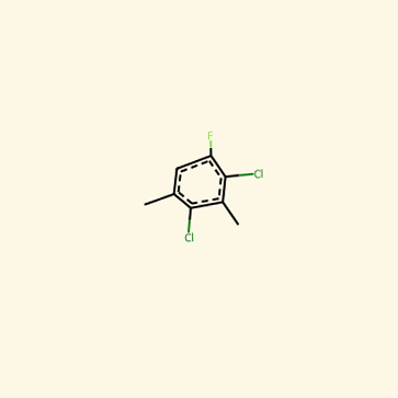 Cc1cc(F)c(Cl)c(C)c1Cl